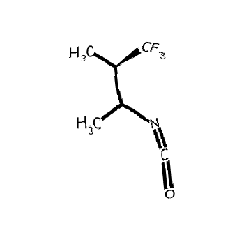 CC(N=C=O)[C@@H](C)C(F)(F)F